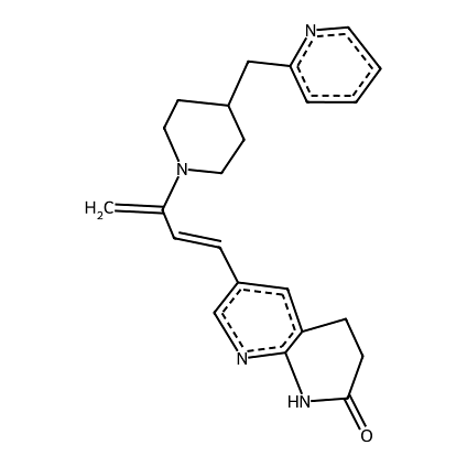 C=C(/C=C/c1cnc2c(c1)CCC(=O)N2)N1CCC(Cc2ccccn2)CC1